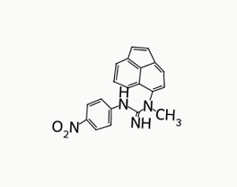 CN(C(=N)Nc1ccc([N+](=O)[O-])cc1)c1ccc2c3c(cccc13)C=C2